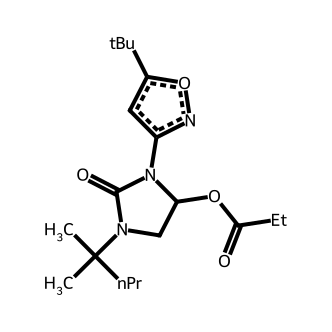 CCCC(C)(C)N1CC(OC(=O)CC)N(c2cc(C(C)(C)C)on2)C1=O